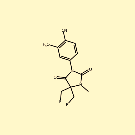 CN1C(=O)N(c2ccc(C#N)c(C(F)(F)F)c2)C(=O)C1(CF)CF